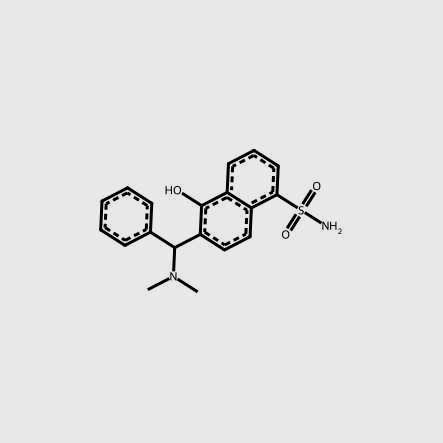 CN(C)C(c1ccccc1)c1ccc2c(S(N)(=O)=O)cccc2c1O